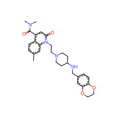 Cc1ccc2c(C(=O)N(C)C)cc(=O)n(CCN3CCC(NCc4ccc5c(c4)OCCO5)CC3)c2c1